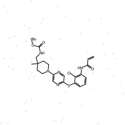 C=CC(=O)Nc1cccc(Sc2cnc(N3CCC(C)(CNC(=O)OC(C)(C)C)CC3)cn2)c1Cl